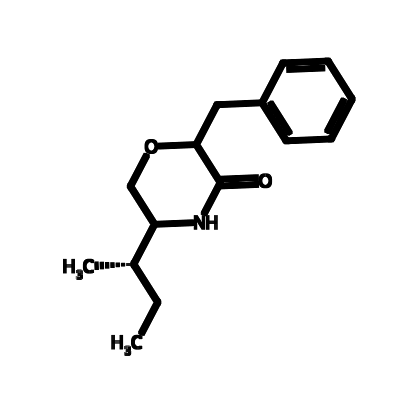 CC[C@H](C)C1COC(Cc2ccccc2)C(=O)N1